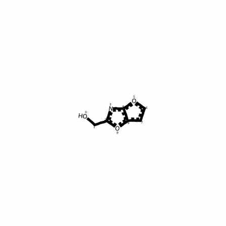 OCc1nc2occc2o1